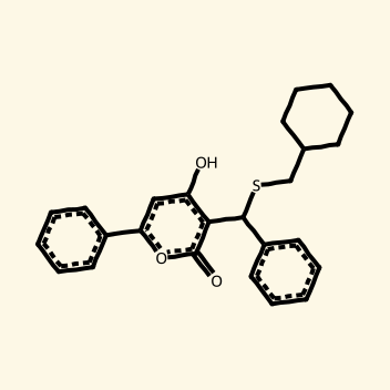 O=c1oc(-c2ccccc2)cc(O)c1C(SCC1CCCCC1)c1ccccc1